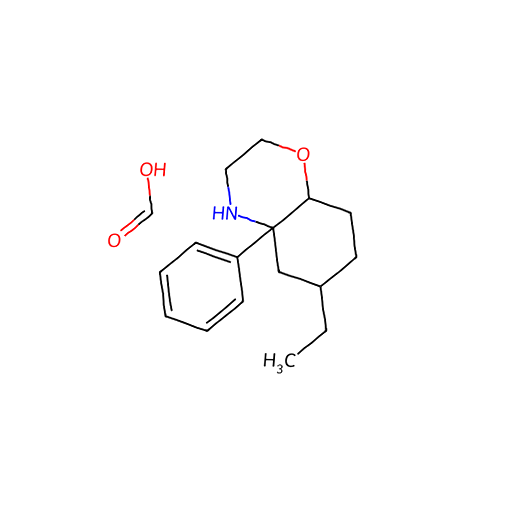 CCC1CCC2OCCNC2(c2ccccc2)C1.O=CO